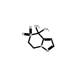 CC1(C)c2c[c]nn2CCS1(=O)=O